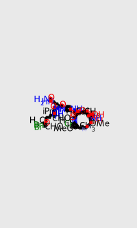 COc1cc2cc(c1Cl)N(C)C(=O)C[C@H](OC(=O)Nc1ccc(NC(=O)[C@H](CCCNC(N)=O)NC(=O)[C@@H](NC(C=O)CCCC(C)OC(C=O)(CBr)CBr)C(C)C)cc1)[C@]1(C)O[C@H]1[C@H](C)[C@@H]1C[C@@](O)(NC(O)O1)[C@H](OC)/C=C/C=C(\C)C2